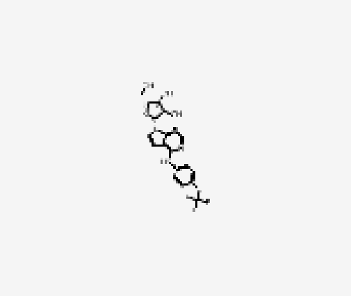 OC[C@H]1O[C@@H](n2ccc3c(Nc4ccc(OC(F)(F)F)cc4)ncnc32)C(O)[C@@H]1O